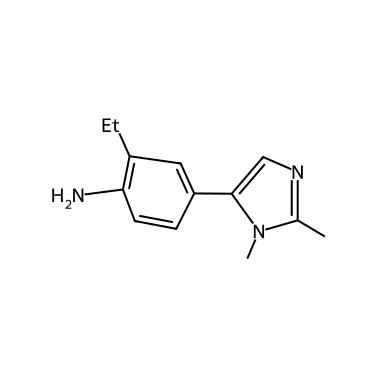 CCc1cc(-c2cnc(C)n2C)ccc1N